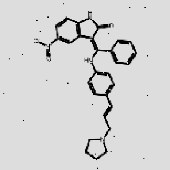 O=C1Nc2ccc([N+](=O)[O-])cc2C1=C(Nc1ccc(C=CCN2CCCC2)cc1)c1ccccc1